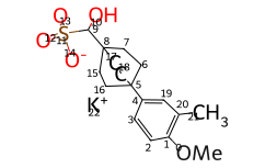 COc1ccc(C23CCC(C(O)S(=O)(=O)[O-])(CC2)CC3)cc1C.[K+]